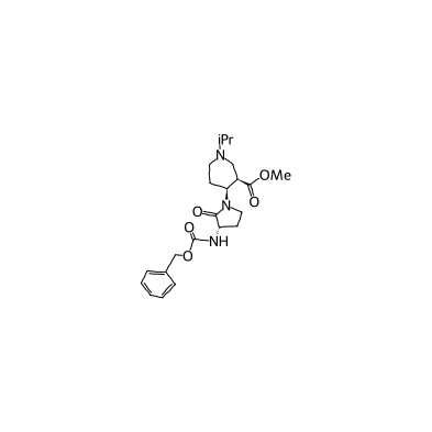 COC(=O)[C@@H]1CN(C(C)C)CC[C@@H]1N1CC[C@H](NC(=O)OCc2ccccc2)C1=O